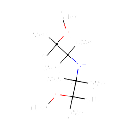 CCCCCCOC([SiH3])(OC)C(NC(OC)(OC)C([SiH3])(OC)OCCCCCC)(OC)OC